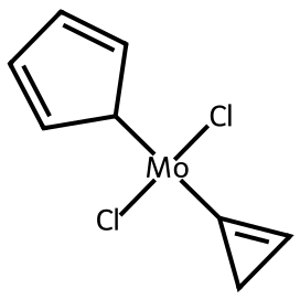 [Cl][Mo]([Cl])([C]1=CC1)[CH]1C=CC=C1